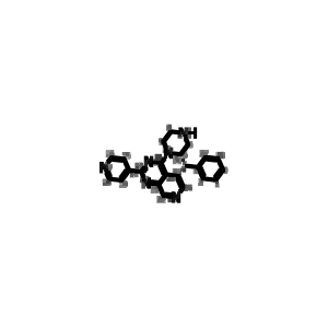 c1ccc(C[C@H]2CNCCN2c2nc(-c3ccncc3)nc3cnccc23)cc1